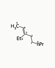 [CH2]CCCC/C(=C/C)CC